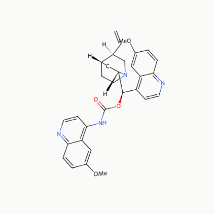 C=C[C@H]1CN2CC[C@H]1C[C@H]2[C@H](OC(=O)Nc1ccnc2ccc(OC)cc12)c1ccnc2ccc(OC)cc12